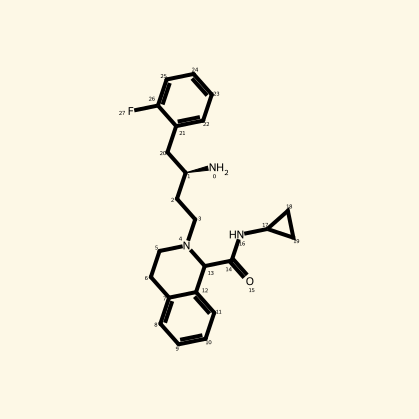 N[C@@H](CCN1CCc2ccccc2C1C(=O)NC1CC1)Cc1ccccc1F